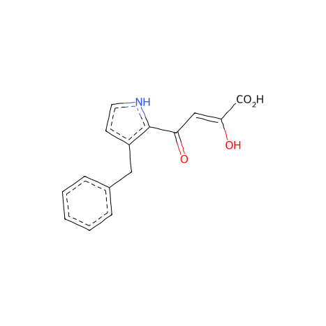 O=C(O)C(O)=CC(=O)c1[nH]ccc1Cc1ccccc1